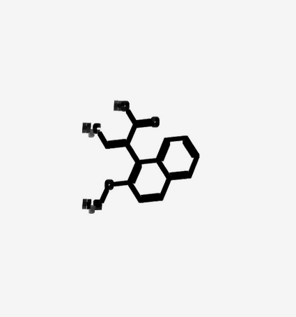 CC=C(C(=O)O)c1c(O[SiH3])ccc2ccccc12